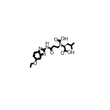 CCOc1ccc2nc(NC(=O)CCN(C(=O)O)[C@@H](CC(C)C)C(=O)O)sc2c1